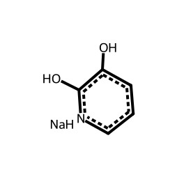 Oc1cccnc1O.[NaH]